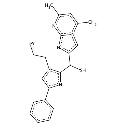 Cc1cc(C)n2cc(C(S)c3nc(-c4ccccc4)cn3CCC(C)C)nc2n1